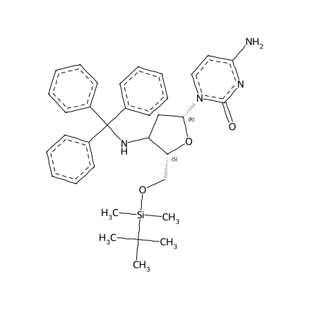 CC(C)(C)[Si](C)(C)OC[C@H]1O[C@@H](n2ccc(N)nc2=O)CC1NC(c1ccccc1)(c1ccccc1)c1ccccc1